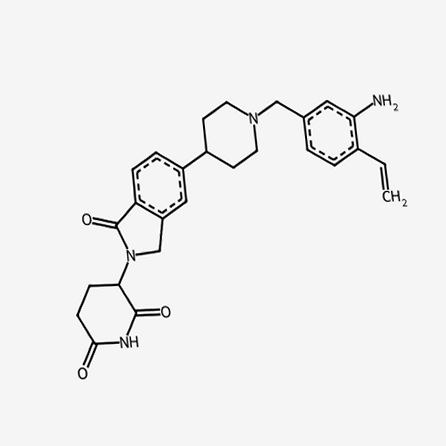 C=Cc1ccc(CN2CCC(c3ccc4c(c3)CN(C3CCC(=O)NC3=O)C4=O)CC2)cc1N